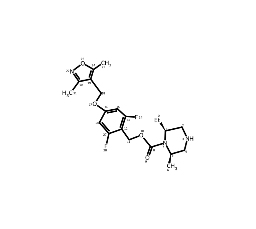 CC[C@H]1CNC[C@@H](C)N1C(=O)OCc1c(F)cc(OCc2c(C)noc2C)cc1F